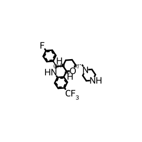 Fc1ccc([C@@H]2Nc3ccc(C(F)(F)F)cc3[C@H]3O[C@@H](CN4CCNCC4)CC[C@H]32)cc1